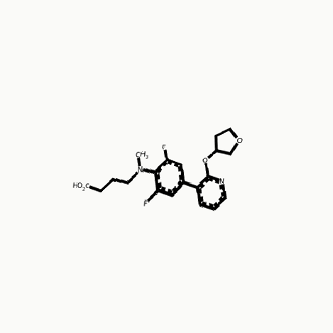 CN(CCCC(=O)O)c1c(F)cc(-c2cccnc2OC2CCOC2)cc1F